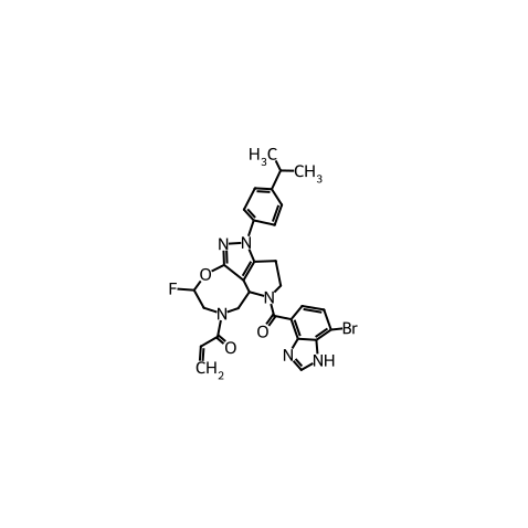 C=CC(=O)N1CC(F)Oc2nn(-c3ccc(C(C)C)cc3)c3c2C(C1)N(C(=O)c1ccc(Br)c2[nH]cnc12)CC3